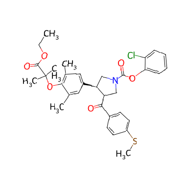 CCOC(=O)C(C)(C)Oc1c(C)cc([C@H]2CN(C(=O)Oc3ccccc3Cl)CC2C(=O)c2ccc(SC)cc2)cc1C